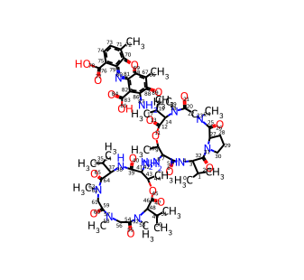 CC(C)C1NC(=O)C(N)C(C)OC(=O)C(C(C)C)N(C)C(=O)CN(C)C(=O)C2CCCN2C1=O.CC(C)C1NC(=O)C(N)C(C)OC(=O)C(C(C)C)N(C)C(=O)CN(C)C(=O)CN(C)C1=O.Cc1c2oc3c(C)ccc(C(=O)O)c3nc-2c(C(=O)O)c(N)c1=O